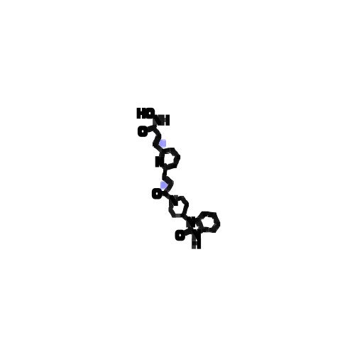 O=C(/C=C/c1cccc(/C=C/C(=O)N2CCC(n3c(=O)[nH]c4ccccc43)CC2)n1)NO